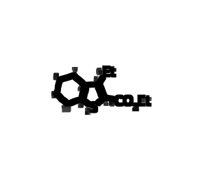 CCOC(=O)c1sc2c(c1CC)CCCC2